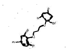 Brc1cc(Br)c(OC[CH]COc2c(Br)cc(Br)cc2Br)c(Br)c1